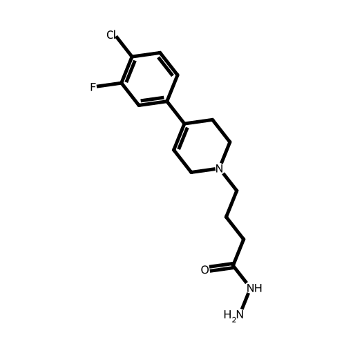 NNC(=O)CCCN1CC=C(c2ccc(Cl)c(F)c2)CC1